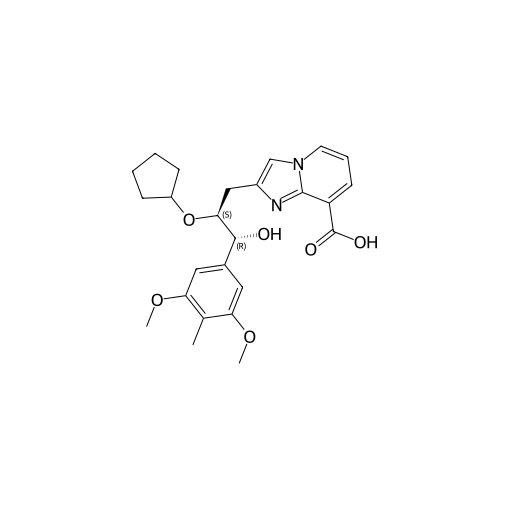 COc1cc([C@@H](O)[C@H](Cc2cn3cccc(C(=O)O)c3n2)OC2CCCC2)cc(OC)c1C